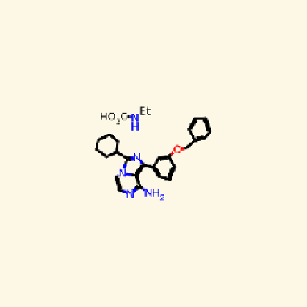 CCNC(=O)O.Nc1nccn2c(C3CCCCC3)nc(-c3cccc(OCc4ccccc4)c3)c12